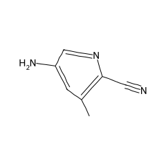 Cc1cc(N)cnc1C#N